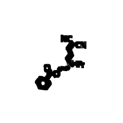 CC(C)N(/C=C/C=C(C#N)C#N)CCOC(=O)c1ccccc1